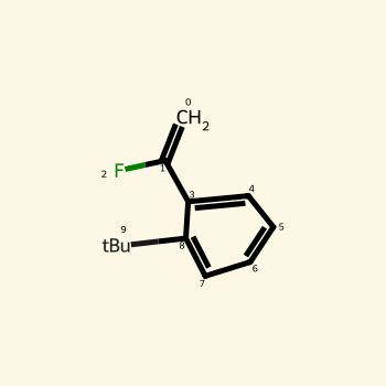 C=C(F)c1ccccc1C(C)(C)C